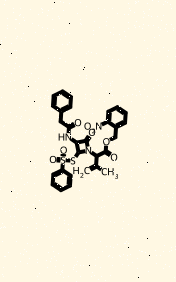 C=C(C)C(C(=O)OCc1ccccc1[N+](=O)[O-])N1C(=O)C(NC(=O)Cc2ccccc2)C1SS(=O)(=O)c1ccccc1